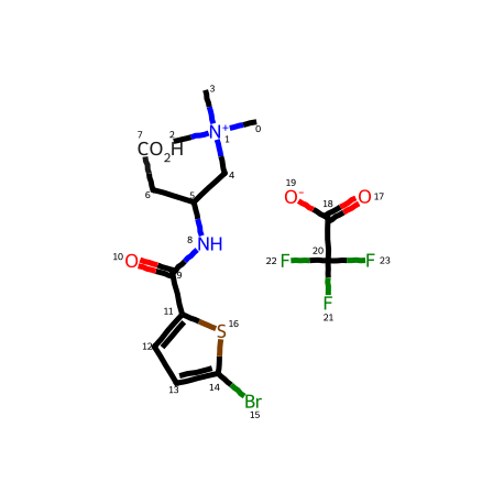 C[N+](C)(C)CC(CC(=O)O)NC(=O)c1ccc(Br)s1.O=C([O-])C(F)(F)F